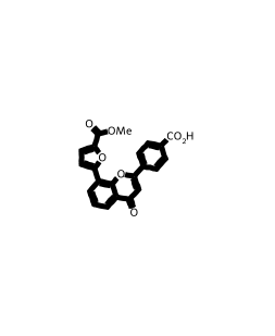 COC(=O)c1ccc(-c2cccc3c(=O)cc(-c4ccc(C(=O)O)cc4)oc23)o1